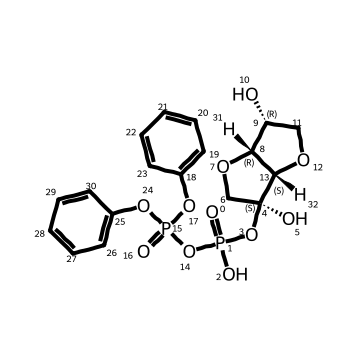 O=P(O)(O[C@@]1(O)CO[C@@H]2[C@H](O)CO[C@@H]21)OP(=O)(Oc1ccccc1)Oc1ccccc1